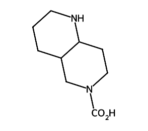 O=C(O)N1CCC2NCCCC2C1